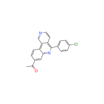 CC(=O)c1ccc2c(c1)nc(-c1ccc(Cl)cc1)c1ccncc12